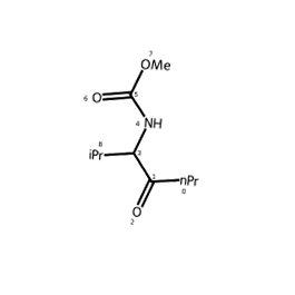 CCCC(=O)C(NC(=O)OC)C(C)C